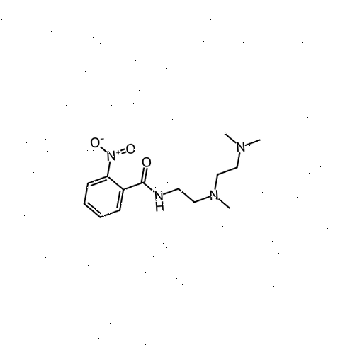 CN(C)CCN(C)CCNC(=O)c1ccccc1[N+](=O)[O-]